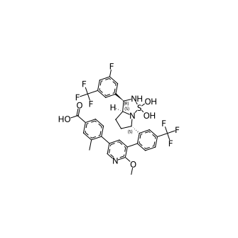 COc1ncc(-c2ccc(C(=O)O)cc2C)cc1-c1ccc(C(F)(F)F)cc1[C@@H]1CC[C@H]2[C@@H](c3cc(F)cc(C(F)(F)F)c3)NS(O)(O)N12